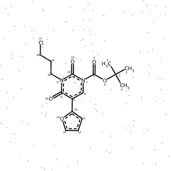 CC(C)(C)OC(=O)n1cc(-c2ccco2)c(=O)n(CCCCl)c1=O